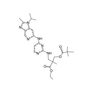 CCOC(=O)C(C)(CNc1nccc(Nc2cc3c(cn2)nc(C)n3C(C)C)n1)COC(=O)C(C)(C)C